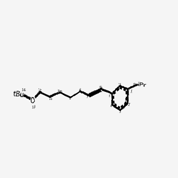 CC(C)c1cccc(/C=C/CCCCCOC(C)(C)C)c1